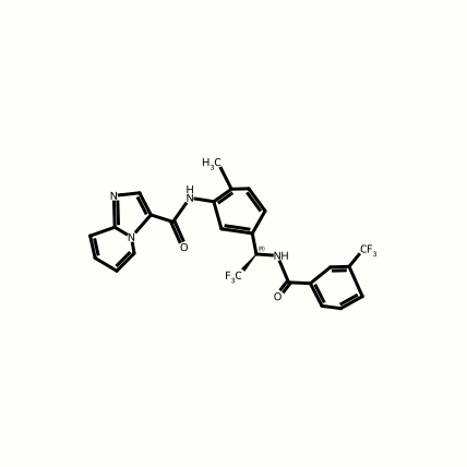 Cc1ccc([C@@H](NC(=O)c2cccc(C(F)(F)F)c2)C(F)(F)F)cc1NC(=O)c1cnc2ccccn12